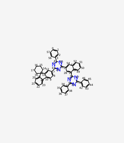 c1ccc(-c2nc(-c3ccc4c(c3)C3(CCCCC3)c3ccccc3-4)nc(-c3cc(-c4nc(-c5ccccc5)nc(-c5ccccc5)n4)c4ccccc4c3)n2)cc1